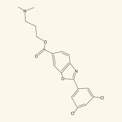 CN(C)CCCOC(=O)c1ccc2nc(-c3cc(Cl)cc(Cl)c3)oc2c1